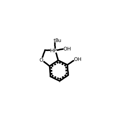 CC(C)(C)[PH]1(O)COc2c[c]cc(O)c21